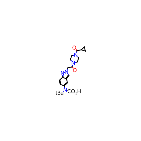 CC(C)(C)N(C(=O)O)c1ccc2nn(CC(=O)N3CCN(C(=O)C4CC4)CC3)cc2c1